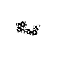 CC(C)C(=O)N(C)c1cccc(C2CCN(C[C@@H](Oc3cccc(Cl)c3)c3ccccc3)CC2)c1